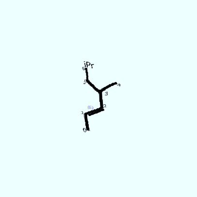 C/C=C/C(C)CC(C)C